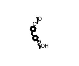 CC(O)COc1ccc(Cc2ccc(OCC3CO3)cc2)cc1